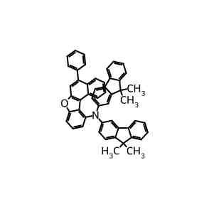 CC1(C)c2ccccc2-c2cc(N(c3ccc4c(c3)C(C)(C)c3ccccc3-4)c3cccc4oc5cc(-c6ccccc6)c6ccccc6c5c34)ccc21